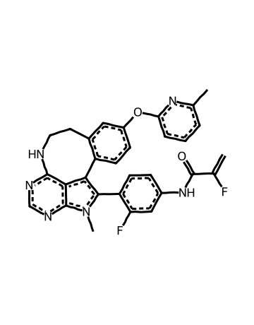 C=C(F)C(=O)Nc1ccc(-c2c3c4c(ncnc4n2C)NCCc2cc(Oc4cccc(C)n4)ccc2-3)c(F)c1